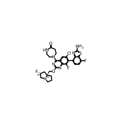 Nc1nc2c(-c3c(Cl)cc4c(N5CCNC(=O)CC5)nc(OC[C@@]56CCCN5C[C@H](F)C6)nc4c3F)ccc(F)c2s1